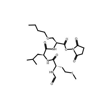 CCCCOC[C@H](NC(=O)[C@H](CC(C)C)NC(=O)[C@H](CCSC)NC=O)C(=O)ON1C(=O)CCC1=O